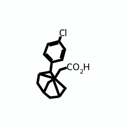 O=C(O)CC12CC3CC(CC(C3)C1c1ccc(Cl)cc1)C2